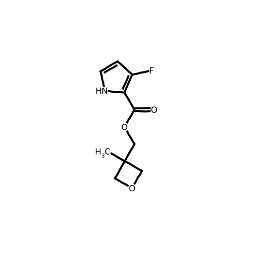 CC1(COC(=O)c2[nH]ccc2F)COC1